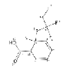 CC1(SC(F)(F)CF)C=CC=CC1C(=O)O